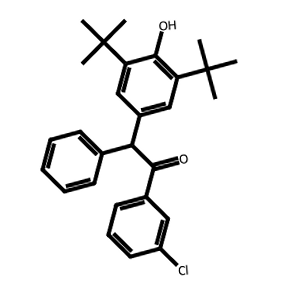 CC(C)(C)c1cc(C(C(=O)c2cccc(Cl)c2)c2ccccc2)cc(C(C)(C)C)c1O